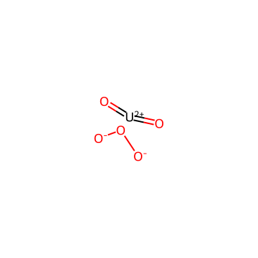 [O-]O[O-].[O]=[U+2]=[O]